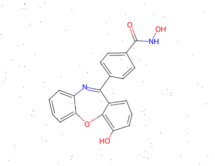 O=C(NO)c1ccc(C2=Nc3ccccc3Oc3c(O)cccc32)cc1